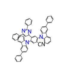 N#Cc1cc(-n2c3ccccc3c3cc(-c4ccccc4)ccc32)c(-c2cc(-c3ccccc3)nc(-c3ccccc3)n2)cc1-n1c2ccccc2c2cc(-c3ccccc3)ccc21